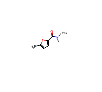 Bc1ccc(C(=O)N(C)OC)o1